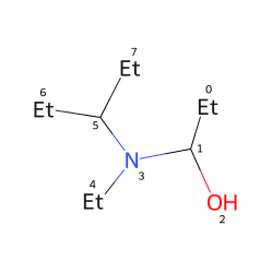 CCC(O)N(CC)C(CC)CC